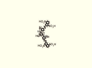 CCOc1cc(/N=N/c2cc(S(=O)(=O)O)c3cccc(S(=O)(=O)O)c3c2)ccc1Nc1nc(O)nc(Nc2ccc(/N=N/c3cc(S(=O)(=O)O)c4cccc(S(=O)(=O)O)c4c3)cc2OCC)n1